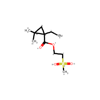 CC(C)(C)CC1(C(=O)OCCS(C)(=O)=O)CC1(C)C